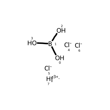 OB(O)O.[Cl-].[Cl-].[Cl-].[Hf+3]